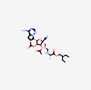 CCC(CC)COC(=O)[C@H](C)NCOC[C@@]1(C#N)O[C@@H](c2ccc3c(N)ncnn23)[C@H](OC(C)=O)[C@@H]1OC(C)=O